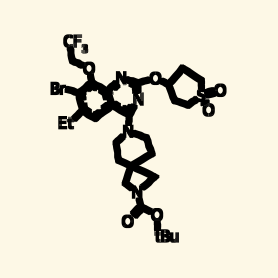 CCc1cc2c(N3CCC4(CC3)CN(C(=O)OC(C)(C)C)C4)nc(OC3CCS(=O)(=O)CC3)nc2c(OCC(F)(F)F)c1Br